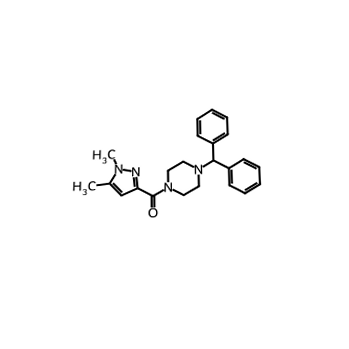 Cc1cc(C(=O)N2CCN(C(c3ccccc3)c3ccccc3)CC2)nn1C